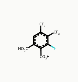 O=C(O)c1cc(C(F)(F)F)c(C(F)(F)F)c(F)c1C(=O)O